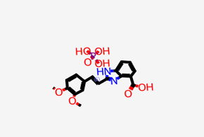 COc1ccc(/C=C/c2nc3c(C(=O)O)cccc3[nH]2)cc1OC.O=P(O)(O)O